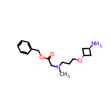 CN(CCCO[C@H]1C[C@H](N)C1)CC(=O)OCc1ccccc1